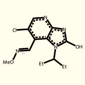 CCC(CC)n1c(O)nc2ncc(Cl)c(/C=N/OC)c21